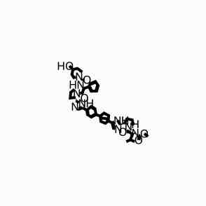 COC(=O)N[C@H](C(=O)N1CCC[C@H]1c1ncc(C23CCC(c4ccc(-c5cnc([C@@H]6CCCN6C(=O)[C@H](NC(=O)N6CCC(O)CC6)c6ccccc6)[nH]5)cc4)(CC2)CC3)[nH]1)C(C)C